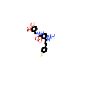 COc1ccc(CNC(=O)c2ccc3[nH]nc(/C=C/c4ccc(F)cc4)c3c2OC)cc1OC